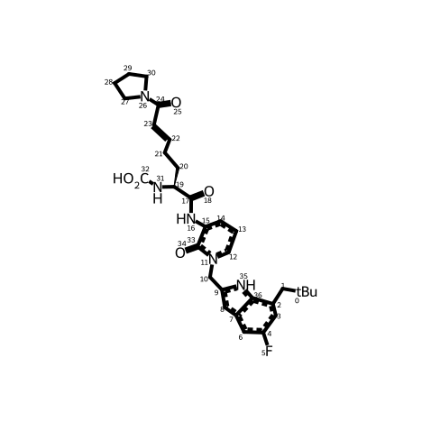 CC(C)(C)Cc1cc(F)cc2cc(Cn3cccc(NC(=O)[C@H](CC/C=C/C(=O)N4CCCC4)NC(=O)O)c3=O)[nH]c12